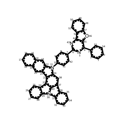 c1ccc(-c2nc(-c3ccc(-n4c5cc6ccccc6cc5c5c6c7ccccc7n7c8ccccc8c(cc54)c67)cc3)nc3c2oc2ccccc23)cc1